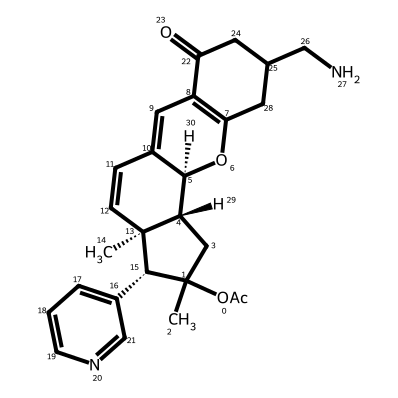 CC(=O)OC1(C)C[C@H]2[C@@H]3OC4=C(C=C3C=C[C@]2(C)[C@H]1c1cccnc1)C(=O)CC(CN)C4